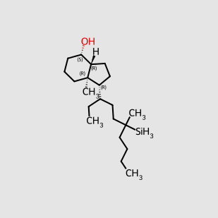 CCCCC(C)([SiH3])CCC(CC)[C@H]1CC[C@H]2[C@@H](O)CCC[C@]12C